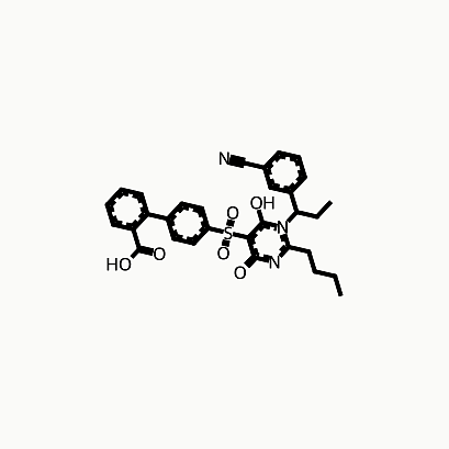 CCCCc1nc(=O)c(S(=O)(=O)c2ccc(-c3ccccc3C(=O)O)cc2)c(O)n1C(CC)c1cccc(C#N)c1